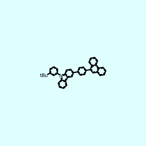 CC(C)(C)c1cccc(-n2c3ccccc3c3cc(-c4ccc(-c5cc6ccccc6c6ccccc56)cc4)ccc32)c1